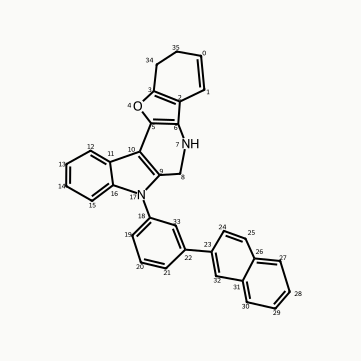 C1=Cc2c(oc3c2NCc2c-3c3ccccc3n2-c2cccc(-c3ccc4ccccc4c3)c2)CC1